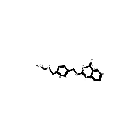 CCOCc1ccc(CSc2nc3ccccc3c(=O)o2)cc1